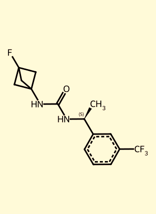 C[C@H](NC(=O)NC12CC(F)(C1)C2)c1cccc(C(F)(F)F)c1